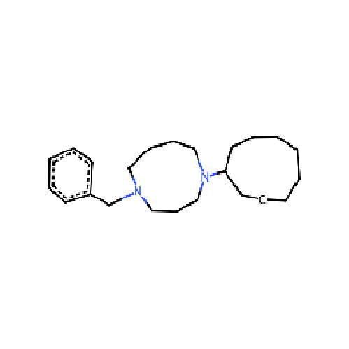 c1ccc(CN2CCCCN(C3CCCCCCCC3)CCC2)cc1